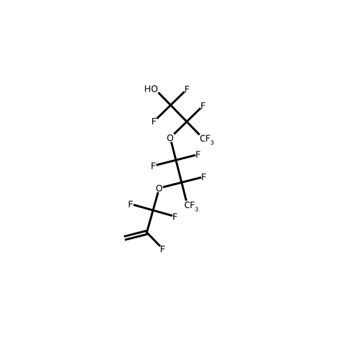 C=C(F)C(F)(F)OC(F)(C(F)(F)F)C(F)(F)OC(F)(C(O)(F)F)C(F)(F)F